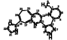 Cc1cccc(-c2n[nH]cc2-c2ccc3c(n2)=CC(c2ncco2)=CCC=3)n1